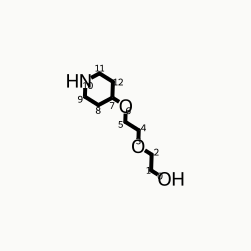 OCCOCCOC1CCNCC1